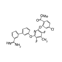 COC(=O)c1ccc(Cl)cc1Oc1nc(Oc2cccc(-c3cccc(C(=N)N)c3)c2)c(F)c(C)c1F